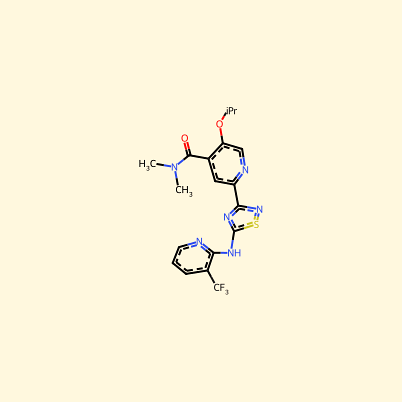 CC(C)Oc1cnc(-c2nsc(Nc3ncccc3C(F)(F)F)n2)cc1C(=O)N(C)C